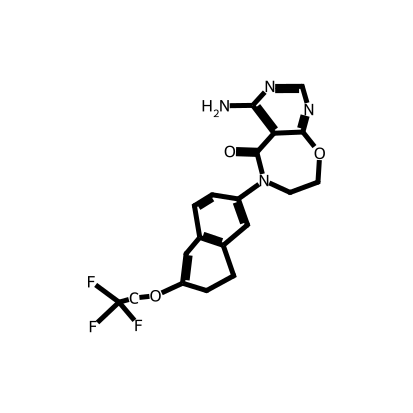 Nc1ncnc2c1C(=O)N(c1ccc3c(c1)CCC(OCC(F)(F)F)=C3)CCO2